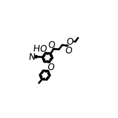 CCOC(=O)CCC(=O)c1cc(Oc2ccc(C)cc2)cc(C#N)c1O